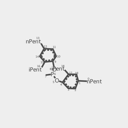 CCCCCc1ccc(OP(C)Oc2ccc(CCCCC)cc2C(C)CCC)c(C(C)CCC)c1